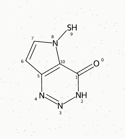 O=c1[nH]nnc2ccn(S)c12